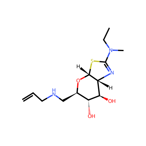 C=CCNC[C@H]1O[C@@H]2SC(N(C)CC)=N[C@@H]2[C@@H](O)[C@@H]1O